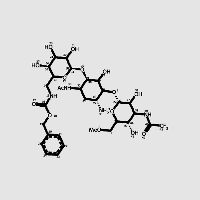 COCC1O[C@H](OC2C(O)[C@H](O[C@H]3OC(CNC(=O)OCc4ccccc4)[C@@H](O)C(O)C3O)C(NC(C)=O)C[C@H]2N)C(O)C(NC(=O)C(F)(F)F)[C@@H]1O